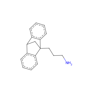 NCCCC12CC(c3ccccc31)c1ccccc12